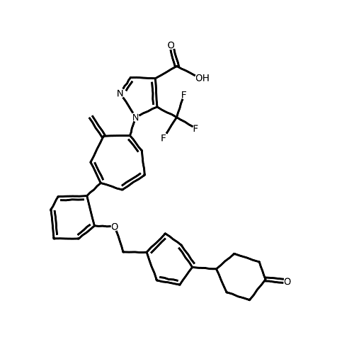 C=C1C=C(c2ccccc2OCc2ccc(C3CCC(=O)CC3)cc2)C=CC=C1n1ncc(C(=O)O)c1C(F)(F)F